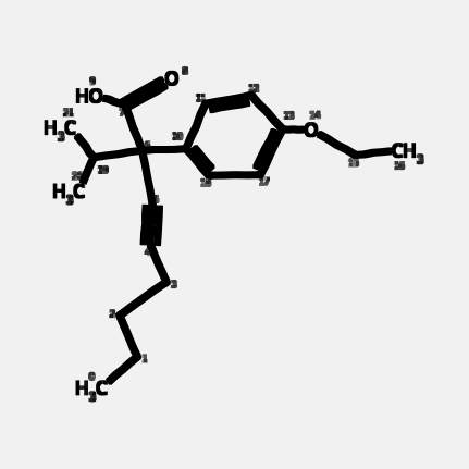 CCCCC#CC(C(=O)O)(c1ccc(OCC)cc1)C(C)C